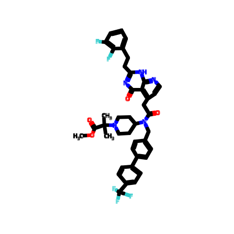 COC(=O)C(C)(C)N1CCC(N(Cc2ccc(-c3ccc(C(F)(F)F)cc3)cc2)C(=O)Cc2ccnc3[nH]c(CCc4cccc(F)c4F)nc(=O)c23)CC1